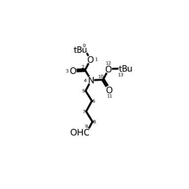 CC(C)(C)OC(=O)N(CCCCC=O)C(=O)OC(C)(C)C